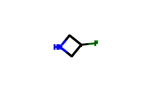 F[C]1CNC1